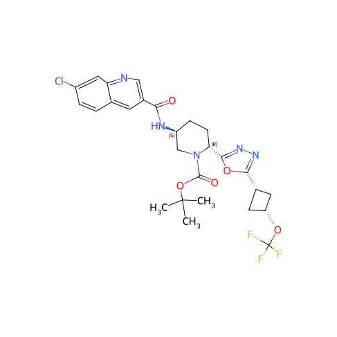 CC(C)(C)OC(=O)N1C[C@@H](NC(=O)c2cnc3cc(Cl)ccc3c2)CC[C@@H]1c1nnc([C@H]2C[C@@H](OC(F)(F)F)C2)o1